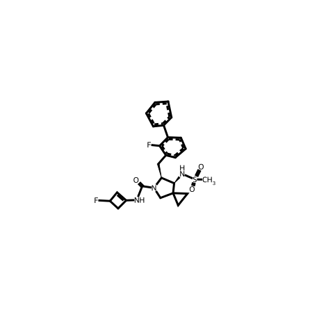 CS(=O)(=O)N[C@@H]1[C@H](Cc2cccc(-c3ccccc3)c2F)N(C(=O)NC2=CC(F)C2)CC12CC2